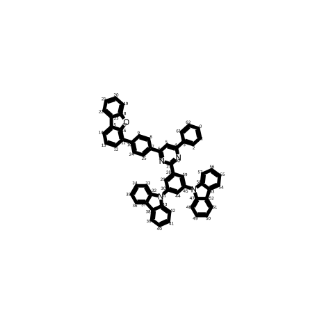 c1ccc(-c2cc(-c3ccc(-c4cccc5c4oc4ccccc45)cc3)nc(-c3cc(-n4c5ccccc5c5ccccc54)cc(-n4c5ccccc5c5ccccc54)c3)n2)cc1